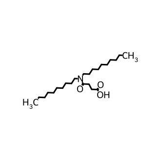 CCCCCCCCCCN(CCCCCCCCCC)C(=O)CCC(=O)O